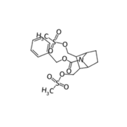 CS(=O)(=O)OCC1C(COS(C)(=O)=O)C2CCC1N2C(=O)OCc1ccccc1